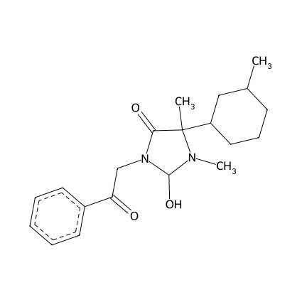 CC1CCCC(C2(C)C(=O)N(CC(=O)c3ccccc3)C(O)N2C)C1